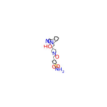 NS(=O)(=O)c1ccc(CC(=O)N2CCC(C(O)CC3c4ccccc4-c4cncn43)CC2)cc1